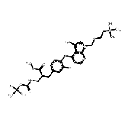 COC(=O)C(CNC(=O)OC(C)(C)C)Cc1ccc(Oc2ccnc3c2c(C)cn3COCC[Si](C)(C)C)c(F)c1